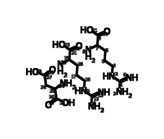 N=C(N)NCCCC(N)C(=O)O.N=C(N)NCCCC(N)C(=O)O.NC(CC(=O)O)C(=O)O